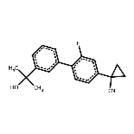 CC(C)(O)c1cccc(-c2ccc(C3(C#N)CC3)cc2F)c1